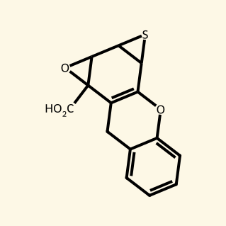 O=C(O)C12OC1C1SC1C1=C2Cc2ccccc2O1